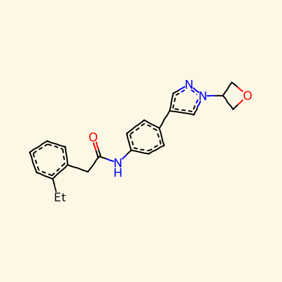 CCc1ccccc1CC(=O)Nc1ccc(-c2cnn(C3COC3)c2)cc1